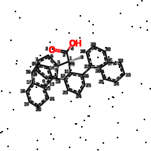 C[C@@](C(=O)O)(c1ccccc1)c1c(-c2cccc3ccccc23)cccc1-c1cccc2ccccc12